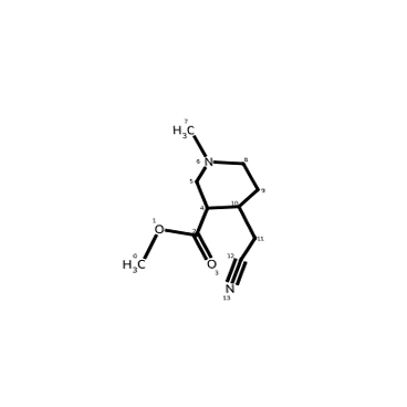 COC(=O)C1CN(C)CCC1CC#N